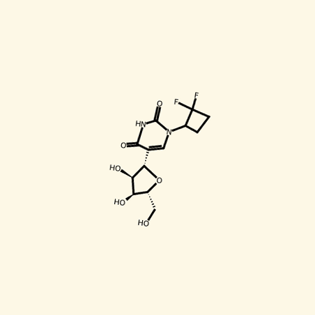 O=c1[nH]c(=O)n(C2CCC2(F)F)cc1[C@@H]1O[C@H](CO)[C@@H](O)[C@H]1O